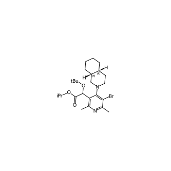 Cc1nc(C)c(C(OC(C)(C)C)C(=O)OC(C)C)c(N2CC[C@H]3CCCC[C@H]3C2)c1Br